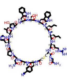 CCCC[C@H]1C(=O)N(C)[C@@H](CCCC)C(=O)N[C@@H](CCCNC(=N)N)C(=O)N[C@H](C(=O)NCC(N)=O)CSCC(=O)N[C@@H](Cc2ccc(C#N)cc2)C(=O)N(C)[C@@H](C)C(=O)N[C@@H](CC(N)=O)C(=O)N2CCC[C@H]2C(=O)N[C@@H](Cc2cnc[nH]2)C(=O)N[C@@H](CC(C)C)C(=O)N2C[C@H](O)C[C@H]2C(=O)N[C@@H](Cc2c[nH]c3ccccc23)C(=O)N[C@@H](CO)C(=O)N[C@@H](Cc2c[nH]c3ccccc23)C(=O)N1C